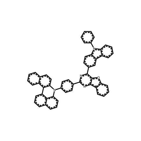 c1ccc(-n2c3ccccc3c3cc(-c4nc(-c5ccc(N6c7ccc8ccccc8c7-c7cccc8cccc6c78)cc5)nc5c4oc4ccccc45)ccc32)cc1